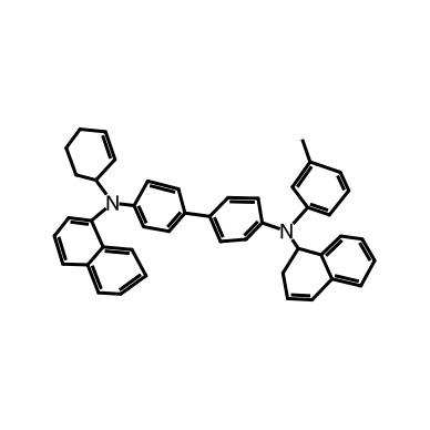 Cc1cccc(N(c2ccc(-c3ccc(N(c4cccc5ccccc45)C4C=CCCC4)cc3)cc2)C2CC=Cc3ccccc32)c1